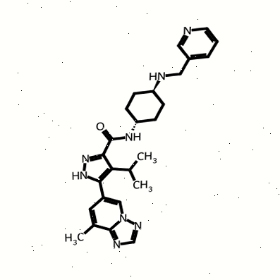 Cc1cc(-c2[nH]nc(C(=O)N[C@H]3CC[C@H](NCc4cccnc4)CC3)c2C(C)C)cn2ncnc12